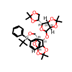 CC1(C)OCC([C@H]2OC(O[C@@H]3C4OC(C)(C)O[C@H]4O[C@@H]3CO[Si](c3ccccc3)(c3ccccc3)C(C)(C)C)[C@H]3OC(C)(C)O[C@@H]23)O1